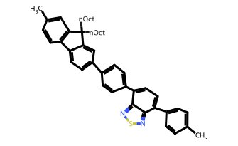 CCCCCCCCC1(CCCCCCCC)c2cc(C)ccc2-c2ccc(-c3ccc(-c4ccc(-c5ccc(C)cc5)c5nsnc45)cc3)cc21